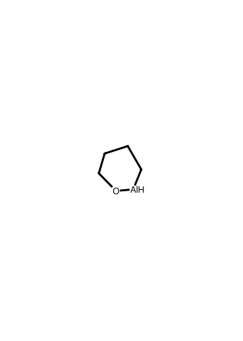 C1C[CH2][AlH][O]C1